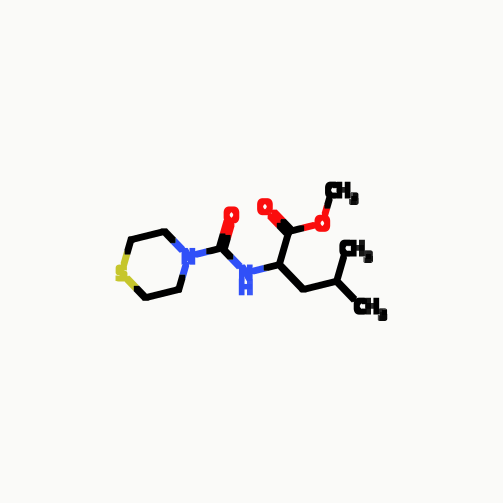 COC(=O)C(CC(C)C)NC(=O)N1CCSCC1